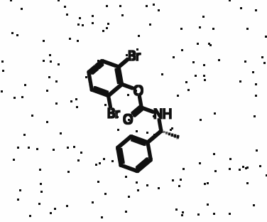 C[C@@H](NC(=O)Oc1c(Br)cccc1Br)c1ccccc1